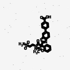 CS(=O)(=O)C(C(=O)NCCS(N)(=O)=O)(c1ccccc1)c1nc2ccc(-c3ccc(C(=O)O)cc3)cc2s1